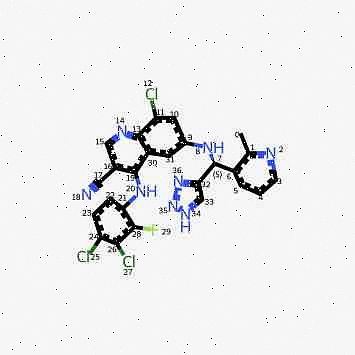 Cc1ncccc1[C@H](Nc1cc(Cl)c2ncc(C#N)c(Nc3ccc(Cl)c(Cl)c3F)c2c1)c1c[nH]nn1